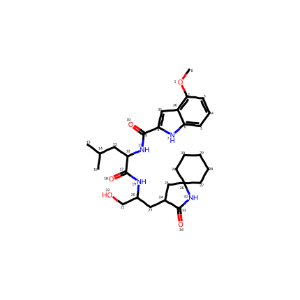 COc1cccc2[nH]c(C(=O)NC(CC(C)C)C(=O)NC(CO)CC3CC4(CCCCC4)NC3=O)cc12